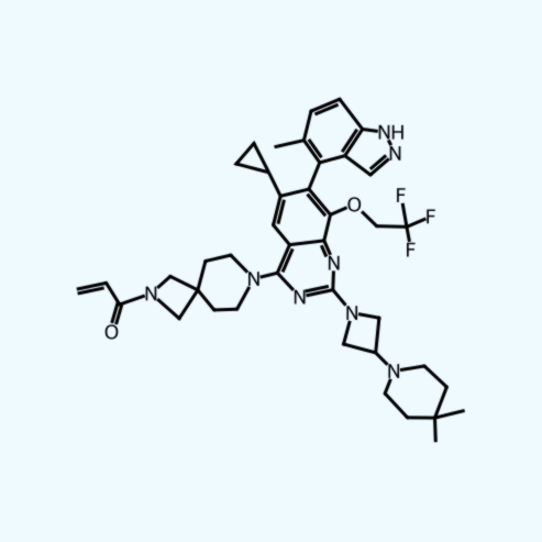 C=CC(=O)N1CC2(CCN(c3nc(N4CC(N5CCC(C)(C)CC5)C4)nc4c(OCC(F)(F)F)c(-c5c(C)ccc6[nH]ncc56)c(C5CC5)cc34)CC2)C1